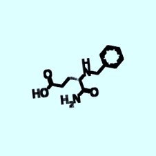 NC(=O)[C@H](CCC(=O)O)NCc1ccccc1